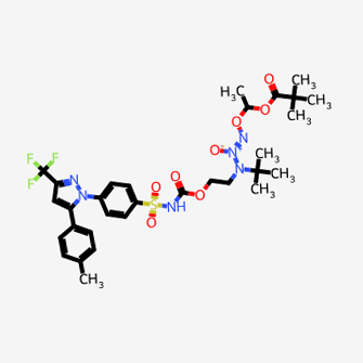 Cc1ccc(-c2cc(C(F)(F)F)nn2-c2ccc(S(=O)(=O)NC(=O)OCCN(/[N+]([O-])=N/OC(C)OC(=O)C(C)(C)C)C(C)(C)C)cc2)cc1